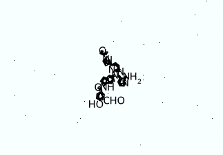 Nc1ncccc1-c1nc2ccc(-c3ccn(C4COC4)n3)nc2n1-c1ccc2c(c1)CC[C@@H]2NC(=O)c1ccc(O)c(C=O)c1